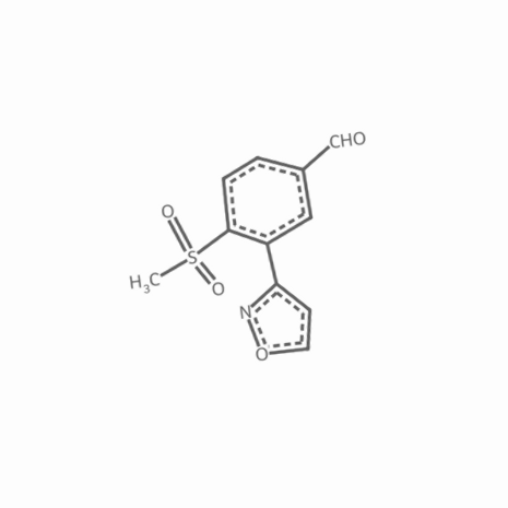 CS(=O)(=O)c1ccc(C=O)cc1-c1ccon1